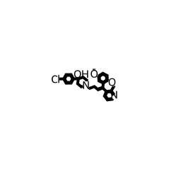 COc1ccc2c(c1)C(=CCCN1CCC(O)(c3ccc(Cl)cc3)CC1)c1cccnc1CO2